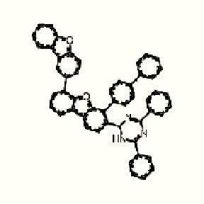 c1ccc(C2=NC(c3ccc4c(oc5c(-c6ccc7oc8ccccc8c7c6)cccc54)c3-c3ccc(-c4ccccc4)cc3)NC(c3ccccc3)=N2)cc1